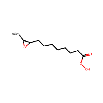 CCCCCCCCC1OC1CCCCCCCC(=O)OO